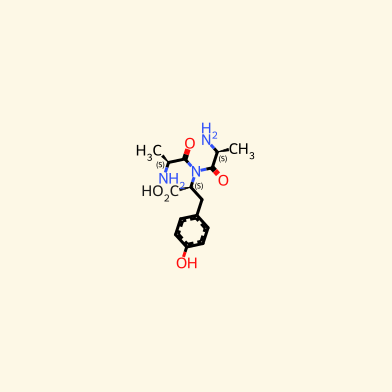 C[C@H](N)C(=O)N(C(=O)[C@H](C)N)[C@@H](Cc1ccc(O)cc1)C(=O)O